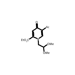 CCOC(=O)c1cc(=O)c(C(C)=O)cn1CC(OC)OC